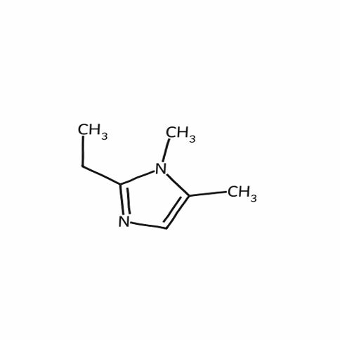 CCc1ncc(C)n1C